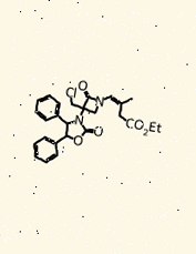 CCOC(=O)CC(C)=CN1CC(CCl)(N2C(=O)OC(c3ccccc3)C2c2ccccc2)C1=O